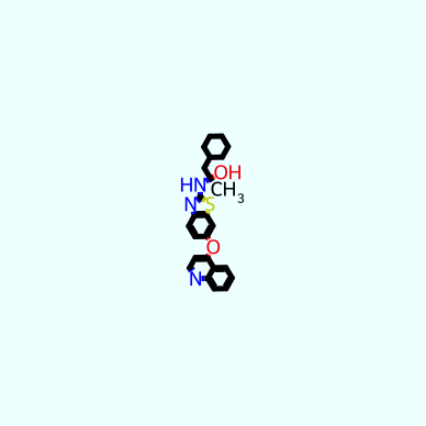 CC(O)(CC1CCCCC1)Nc1nc2ccc(Oc3ccnc4ccccc34)cc2s1